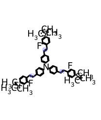 C[Si](C)(C)c1ccc(/C=C/c2ccc(N(c3ccc(/C=C/c4ccc([Si](C)(C)C)cc4F)cc3)c3ccc(/C=C/c4ccc([Si](C)(C)C)cc4F)cc3)cc2)c(F)c1